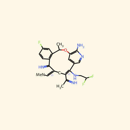 CN/C=C1/C/C(C(C)=N)=C(/NCC(F)F)c2cnc(N)c(c2)OC(C)c2cc(F)ccc2C1=N